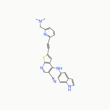 CN(C)Cc1cccc(C#Cc2cc3c(Nc4ccc5[nH]ccc5c4)c(C#N)cnc3s2)n1